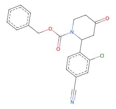 N#Cc1ccc(C2CC(=O)CCN2C(=O)OCc2ccccc2)c(Cl)c1